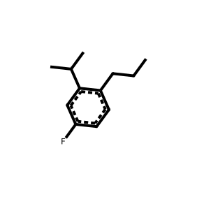 CCCc1ccc(F)cc1[C](C)C